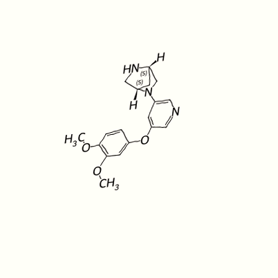 COc1ccc(Oc2cncc(N3C[C@@H]4C[C@H]3CN4)c2)cc1OC